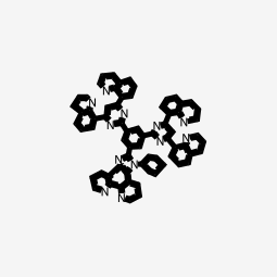 c1ccc(-n2c(-c3cc(-c4nc(-c5cccc6cccnc56)cc(-c5cccc6cccnc56)n4)cc(-c4nc(-c5cccc6cccnc56)cc(-c5cccc6cccnc56)n4)c3)nc3c4cccnc4c4ncccc4c32)cc1